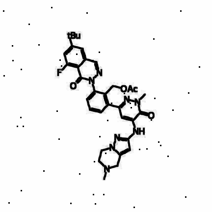 CC(=O)OCc1c(-c2cc(Nc3cc4n(n3)CCN(C)C4)c(=O)n(C)n2)cccc1-n1ncc2cc(C(C)(C)C)cc(F)c2c1=O